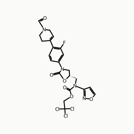 O=CN1CC=C(c2ccc(N3C[C@H](CN(C(=O)OCC(Cl)(Cl)Cl)c4ccon4)OC3=O)cc2F)CC1